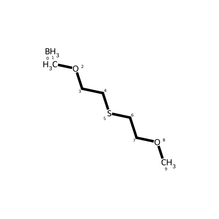 B.COCCSCCOC